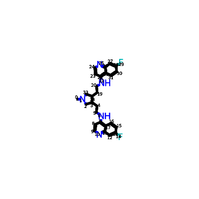 CN1CC(CCNc2ccnc3cc(F)ccc23)C(CCNc2ccnc3cc(F)ccc23)C1